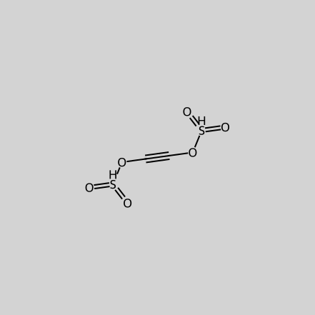 O=[SH](=O)OC#CO[SH](=O)=O